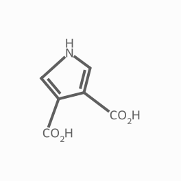 O=C(O)c1c[nH]cc1C(=O)O